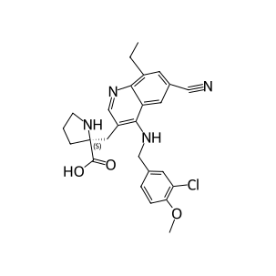 CCc1cc(C#N)cc2c(NCc3ccc(OC)c(Cl)c3)c(C[C@]3(C(=O)O)CCCN3)cnc12